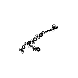 C=CC(=O)OCCCCCCOc1ccc(OC(=O)[C@H]2CC[C@H](C(=O)Oc3ccc(OC(=O)[C@H]4CC[C@H](C(=O)OC)CC4)c(/C=N/Nc4nc5ccccc5s4)c3)CC2)cc1